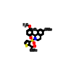 COC(=O)c1sccc1S(=O)(=O)N1CCc2cc(OC)cc(OC)c2C1c1cccc(OC(F)(F)F)c1